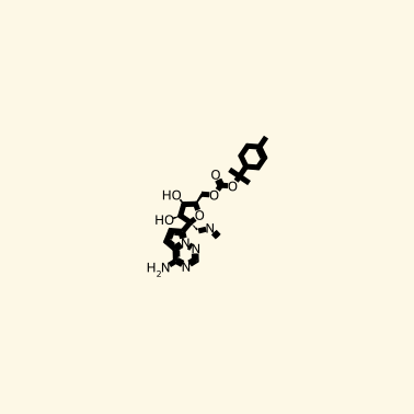 C=NC[C@@]1(c2ccc3c(N)ncnn23)O[C@H](COC(=O)OC(C)(C)C2CC=C(C)CC2)[C@@H](O)[C@H]1O